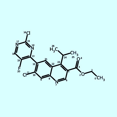 CCOC(=O)c1cnc2cc(Cl)c(-c3nc(Cl)ncc3F)cc2c1C(C)C